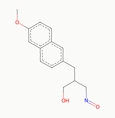 COc1ccc2cc(CC(CO)CN=O)ccc2c1